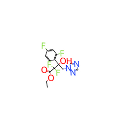 CCOC(=O)C(F)(F)C(O)(Cn1cncn1)c1ccc(F)cc1F